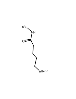 CCCCCCCCCCCC(=O)NCCCC